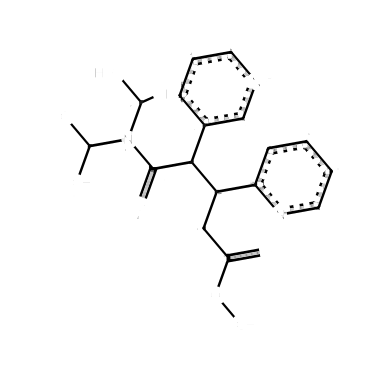 COC(=O)CC(c1ccccn1)C(C(=O)N(C(C)C)C(C)C)c1cccnc1